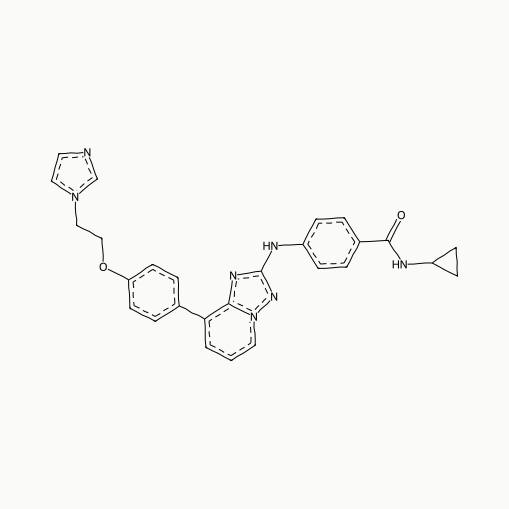 O=C(NC1CC1)c1ccc(Nc2nc3c(-c4ccc(OCCn5ccnc5)cc4)cccn3n2)cc1